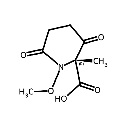 CON1C(=O)CCC(=O)[C@]1(C)C(=O)O